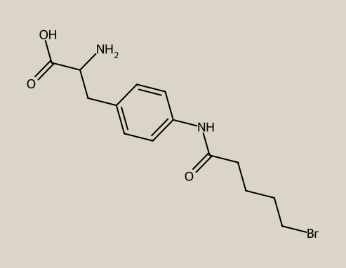 NC(Cc1ccc(NC(=O)CCCCBr)cc1)C(=O)O